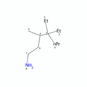 CCCC(CC)(CC)C(C)CCN